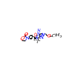 CCOCCn1cc(Nc2ncc(-c3ccc(N4CCOC4=O)cc3)o2)c(C)n1